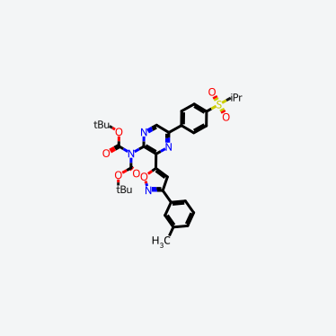 Cc1cccc(-c2cc(-c3nc(-c4ccc(S(=O)(=O)C(C)C)cc4)cnc3N(C(=O)OC(C)(C)C)C(=O)OC(C)(C)C)on2)c1